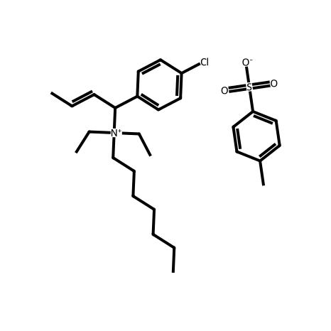 CC=CC(c1ccc(Cl)cc1)[N+](CC)(CC)CCCCCCC.Cc1ccc(S(=O)(=O)[O-])cc1